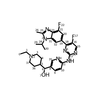 CCN1CCC([C@H](O)c2ccc(Nc3ncc(F)c(-c4cc(F)c5nc(C)n(C(C)C)c5c4)n3)nc2)CC1